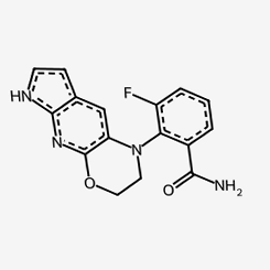 NC(=O)c1cccc(F)c1N1CCOc2nc3[nH]ccc3cc21